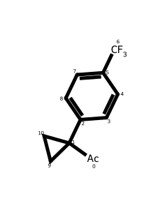 CC(=O)C1(c2ccc(C(F)(F)F)cc2)CC1